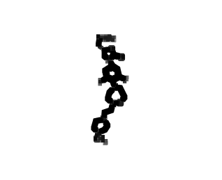 CC(=O)NC[C@H]1CN(c2cc(F)c(N3CCON(CCN4CCN(C)CC4)CC3)c(F)c2)C(=O)O1